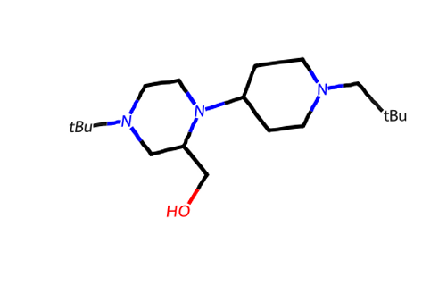 CC(C)(C)CN1CCC(N2CCN(C(C)(C)C)CC2CO)CC1